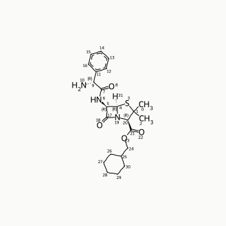 CC1(C)S[C@@H]2[C@H](NC(=O)[C@H](N)c3ccccc3)C(=O)N2[C@@H]1C(=O)OCC1CCCCC1